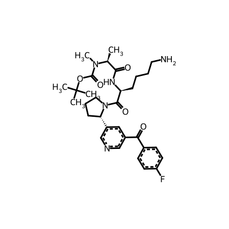 C[C@@H](C(=O)N[C@@H](CCCCN)C(=O)N1CCC[C@H]1c1cncc(C(=O)c2ccc(F)cc2)c1)N(C)C(=O)OC(C)(C)C